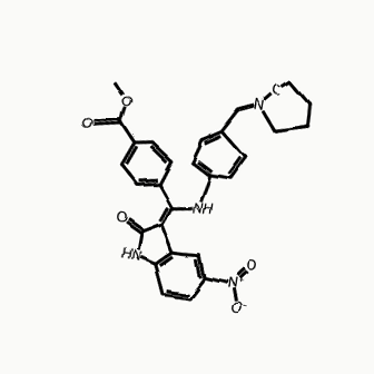 COC(=O)c1ccc(C(Nc2ccc(CN3CCCCC3)cc2)=C2C(=O)Nc3ccc([N+](=O)[O-])cc32)cc1